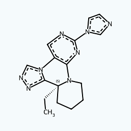 CC[C@@]12CCCCN1c1nc(-n3ccnc3)ncc1-n1cnnc12